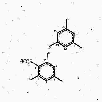 Cc1cc(C)c(S(=O)(=O)O)c(C)c1.Cc1cc(C)cc(C)c1